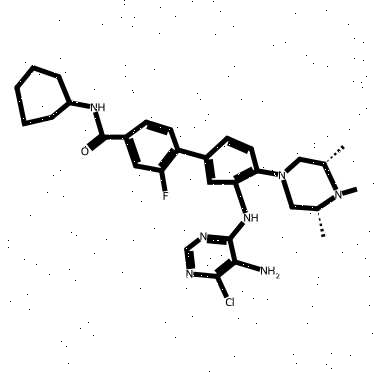 C[C@@H]1CN(c2ccc(-c3ccc(C(=O)NC4CCCCC4)cc3F)cc2Nc2ncnc(Cl)c2N)C[C@H](C)N1C